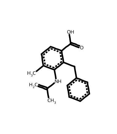 C=C(C)Nc1c(C)ccc(C(=O)O)c1Cc1ccccc1